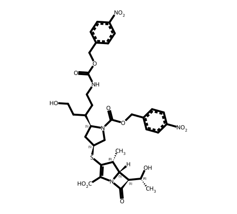 C[C@@H](O)[C@H]1C(=O)N2C(C(=O)O)=C(S[C@H]3C[C@@H](C(CCO)CCNC(=O)OCc4ccc([N+](=O)[O-])cc4)N(C(=O)OCc4ccc([N+](=O)[O-])cc4)C3)[C@H](C)[C@H]12